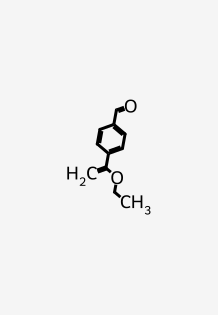 C=C(OCC)c1ccc(C=O)cc1